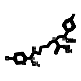 CO[C@H](C[C@H](CCCCN[C@H](C)c1ccc(Cl)cn1)C(=O)NO)c1ccc(F)cc1